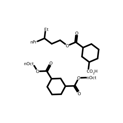 CCCC(CC)CCOC(=O)C1CCCC(C(=O)O)C1.CCCCCCCCOC(=O)C1CCCC(C(=O)OCCCCCCCC)C1